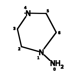 NN1CC[N]CC1